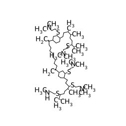 C=C(CCCCCCCCC(=C)C1CCC(CCC(SCCN(C)C)C(C)CCC(SCCNC)C(C)C)C(SCCN(C)C)C1)C1CCC(CCC(C)C(C)CCC(SCCN(C)C)C(C)C)C(SCCN(C)C)C1